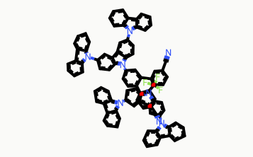 N#Cc1ccc(-n2c3ccc(-n4c5ccccc5c5ccccc54)cc3c3cc(-n4c5ccccc5c5ccccc54)ccc32)c(-c2cc(-n3c4ccc(-n5c6ccccc6c6ccccc65)cc4c4cc(-n5c6ccccc6c6ccccc65)ccc43)ccc2-c2ccc(C#N)cc2C(F)(F)F)c1